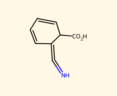 N=C=C1C=CC=CC1C(=O)O